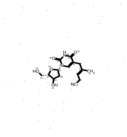 CC(=CCC#N)Cc1cn([C@@H]2CC(O)[C@H](CO)O2)c(=O)[nH]c1=O